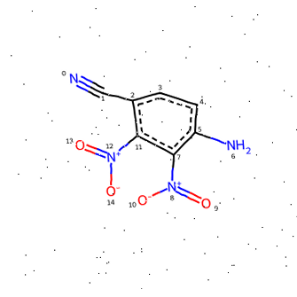 N#Cc1ccc(N)c([N+](=O)[O-])c1[N+](=O)[O-]